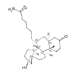 C[C@]12CCC(=O)C[C@@H]1C[C@@H](CCCCCC(N)=O)[C@@H]1[C@@H]2CC[C@]2(C)[C@@H](O)CC[C@@H]12